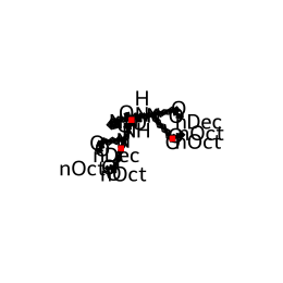 CCCCCCCCCCCOC(=O)CCCCCN(CCCCCCCC(=O)OC(CCCCCCCC)CCCCCCCC)CCNC(=O)CN(CC(=O)NCCN(CCCCCCCC(=O)OC(CCCCCCCC)CCCCCCCC)CCCCCC(=O)OCCCCCCCCCCC)C(=O)CCN1CCCC1